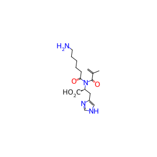 C=C(C)C(=O)N(C(=O)CCCCCN)[C@@H](Cc1c[nH]cn1)C(=O)O